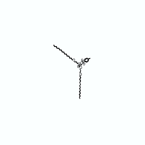 CCCCCCCCCCCCCCCCOCCCOP(=O)(COS(=O)(=O)c1ccc(C)cc1)OCCCOCCCCCCCCCCCCCCCC